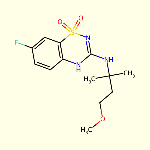 COCCC(C)(C)NC1=NS(=O)(=O)c2cc(F)ccc2N1